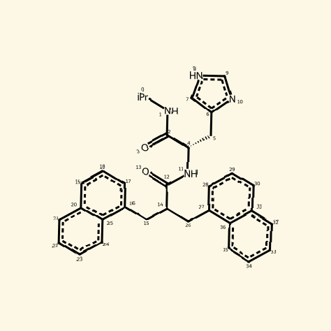 CC(C)NC(=O)[C@H](Cc1c[nH]cn1)NC(=O)C(Cc1cccc2ccccc12)Cc1cccc2ccccc12